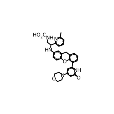 Cc1cccc(C(CNC(=O)O)Nc2ccc3c(c2)Cc2cccc(-c4cc(N5CCOCC5)cc(=O)[nH]4)c2O3)n1